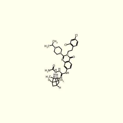 CC(C)N1CCN(c2nc3cc(N/C(=N/[C@H]4C[C@@H]5C[C@H]([C@@H]4C)C5(C)C)NNC(N)=O)ccc3c(=O)n2CCc2ccc(Cl)cc2Cl)CC1